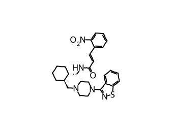 O=C(/C=C/c1ccccc1[N+](=O)[O-])NC[C@H]1CCCC[C@@H]1CN1CCN(c2nsc3ccccc23)CC1